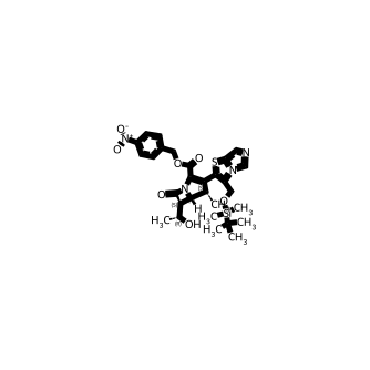 C[C@@H](O)[C@H]1C(=O)N2C(C(=O)OCc3ccc([N+](=O)[O-])cc3)=C(c3sc4cncn4c3CO[Si](C)(C)C(C)(C)C)[C@H](C)[C@H]12